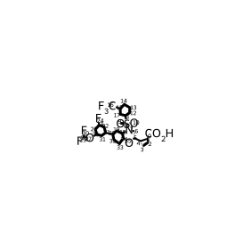 O=C(O)[C@H]1C=C[C@@H]1[C@H]1CN(S(=O)(=O)c2cccc(C(F)(F)F)c2)c2cc(-c3cc(F)cc(OC(F)F)c3)ccc2O1